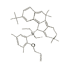 C=CCOc1c(C)cc(C)cc1[Si](CC)(CC)C1C2=CC(C)(C)CCC2=C2C1=c1cc(C(C)(C)C)ccc1=CC2(C)C